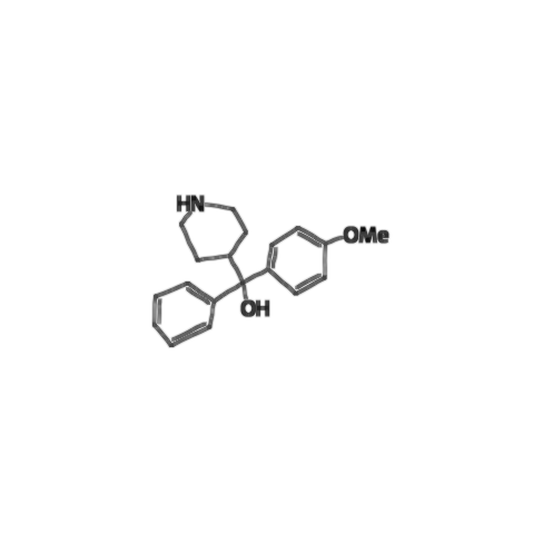 COc1ccc(C(O)(c2ccccc2)C2CCNCC2)cc1